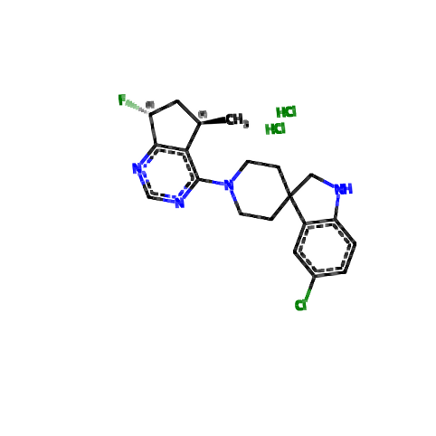 C[C@@H]1C[C@@H](F)c2ncnc(N3CCC4(CC3)CNc3ccc(Cl)cc34)c21.Cl.Cl